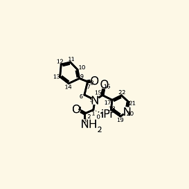 CC(C)[C@H](C(N)=O)N(CC(=O)c1ccccc1)C(=O)c1ccncc1